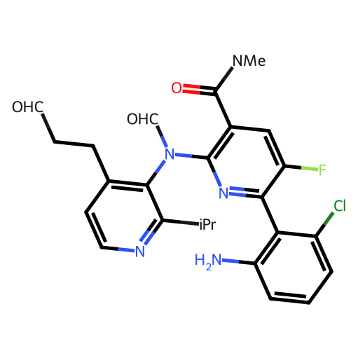 CNC(=O)c1cc(F)c(-c2c(N)cccc2Cl)nc1N(C=O)c1c(CCC=O)ccnc1C(C)C